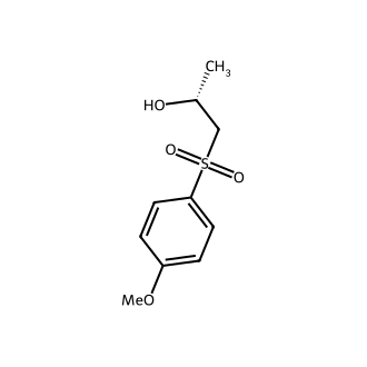 COc1ccc(S(=O)(=O)C[C@@H](C)O)cc1